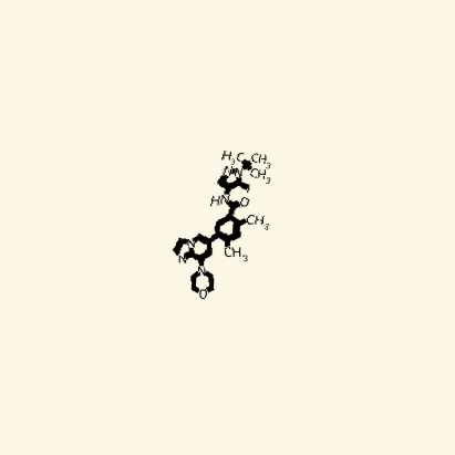 Cc1cc(C)c(-c2cc(N3CCOCC3)c3nccn3c2)cc1C(=O)Nc1cnn(C(C)(C)C)c1I